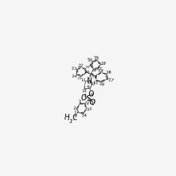 Cc1ccc(S(=O)(=O)OC2CCN(C(c3ccccc3)(c3ccccc3)c3ccccc3)C2)cc1